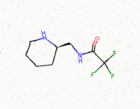 O=C(NC[C@H]1CCCCN1)C(F)(F)F